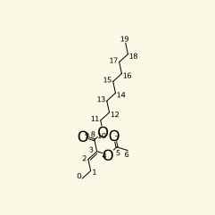 CC/C=C(\OC(C)=O)C(=O)OCCCCCCCCC